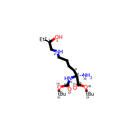 CC[C@@H](O)CNCCCC[C@](N)(NC(=O)OC(C)(C)C)C(=O)OC(C)(C)C